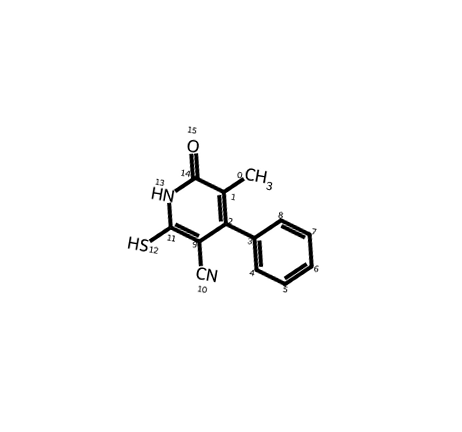 Cc1c(-c2ccccc2)c(C#N)c(S)[nH]c1=O